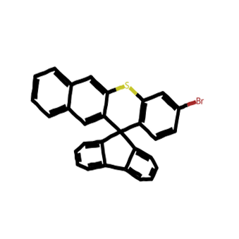 Brc1ccc2c(c1)Sc1cc3ccccc3cc1C21c2ccccc2-c2ccccc21